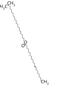 CCCCCCCCC=CCCCCCCCCCCCC(=O)OCCCCCCCCCCCCCCCCCCCCC(C)C